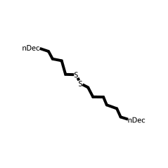 CCCCCCCCCCCCCCCCSSCCCCCCCCCCCCCC